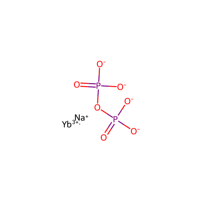 O=P([O-])([O-])OP(=O)([O-])[O-].[Na+].[Yb+3]